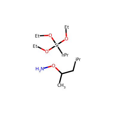 CC(C)CC(C)ON.CCC[Si](OCC)(OCC)OCC